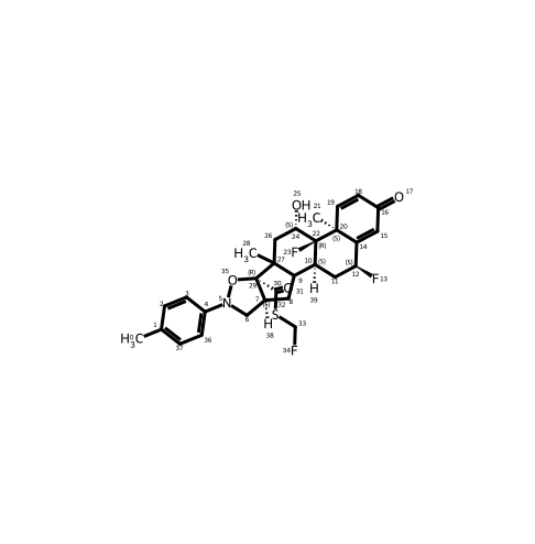 Cc1ccc(N2C[C@@H]3CC4[C@@H]5C[C@H](F)C6=CC(=O)C=C[C@]6(C)[C@@]5(F)[C@@H](O)CC4(C)[C@]3(C(=O)SCF)O2)cc1